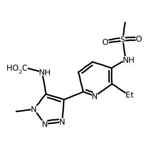 CCc1nc(-c2nnn(C)c2NC(=O)O)ccc1NS(C)(=O)=O